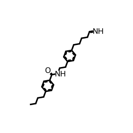 CCCCc1ccc(C(=O)NCCc2ccc(CCCCC=N)cc2)cc1